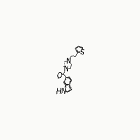 O=C(c1ccc2cc[nH]c2c1)N1CCN(CCc2cccs2)CC1